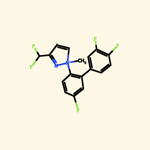 C[N+]1(c2ccc(F)cc2-c2ccc(F)c(F)c2)C=[C]C(C(F)F)=N1